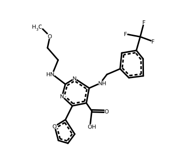 COCCNc1nc(NCc2cccc(C(F)(F)F)c2)c(C(=O)O)c(-c2ccco2)n1